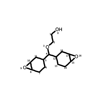 OCCOC(C1CCC2OC2C1)C1CCC2OC2C1